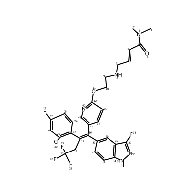 CN(C)C(=O)/C=C/CNCCOc1ccc(/C(=C(/CC(F)(F)F)c2ccc(F)cc2Cl)c2ccc3[nH]nc(F)c3c2)cn1